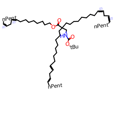 CCCCCC=CCC=CCCCCCCCCC(CCCCCCCC/C=C\C/C=C\CCCCC)(CNC(=O)OC(C)(C)C)C(=O)OCCCCCCCC/C=C\C/C=C\CCCCC